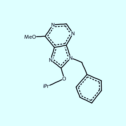 COc1ncnc2c1nc(OC(C)C)n2Cc1ccccc1